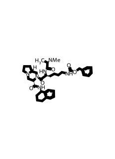 CN[C@@H](C)C(=O)N[C@@H](CCCCNC(=O)OCc1ccccc1)C(=O)N1C[C@H]2CCCN2C[C@H]1C(=O)N[C@@H]1CCCc2ccccc21